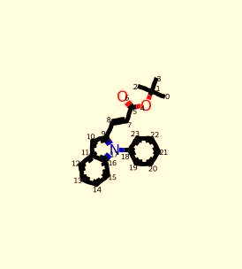 CC(C)(C)OC(=O)C=Cc1cc2ccccc2n1-c1ccccc1